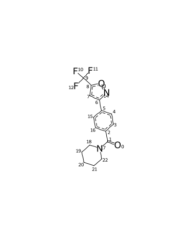 O=C(c1ccc(-c2cc(C(F)(F)F)on2)cc1)N1CCCCC1